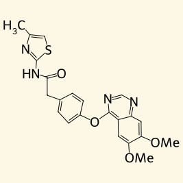 COc1cc2ncnc(Oc3ccc(CC(=O)Nc4nc(C)cs4)cc3)c2cc1OC